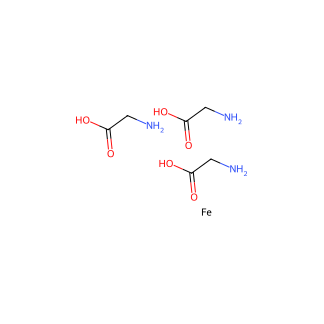 NCC(=O)O.NCC(=O)O.NCC(=O)O.[Fe]